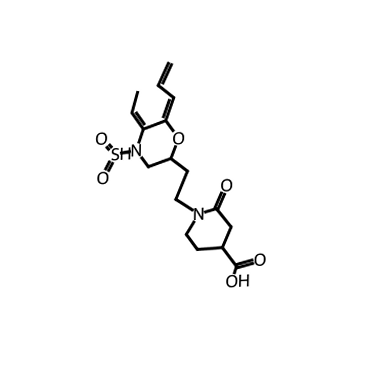 C=C/C=C1/OC(CCN2CCC(C(=O)O)CC2=O)CN([SH](=O)=O)/C1=C/C